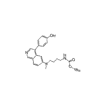 CN(CCCCNC(=O)OC(C)(C)C)c1ccc2cncc(-c3ccc(O)cc3)c2c1